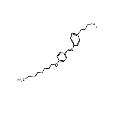 CCCCCCCCOc1ccc(C=Nc2ccc(CCCC)cc2)cc1